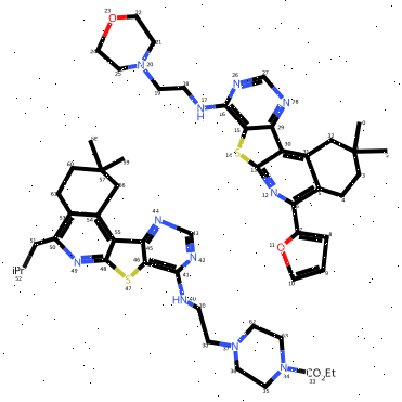 CC1(C)CCc2c(-c3ccco3)nc3sc4c(NCCN5CCOCC5)ncnc4c3c2C1.CCOC(=O)N1CCN(CCNc2ncnc3c2sc2nc(CC(C)C)c4c(c23)CC(C)(C)CC4)CC1